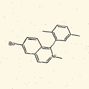 CCC(C)c1ccc2c(-c3cc(C)ccc3C)[n+](C)ccc2c1